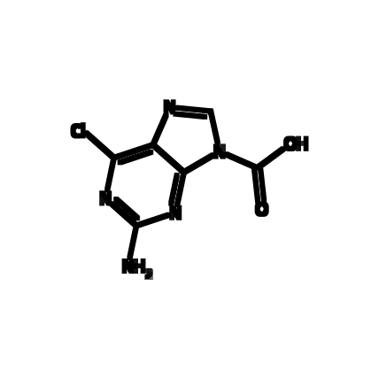 Nc1nc(Cl)c2ncn(C(=O)O)c2n1